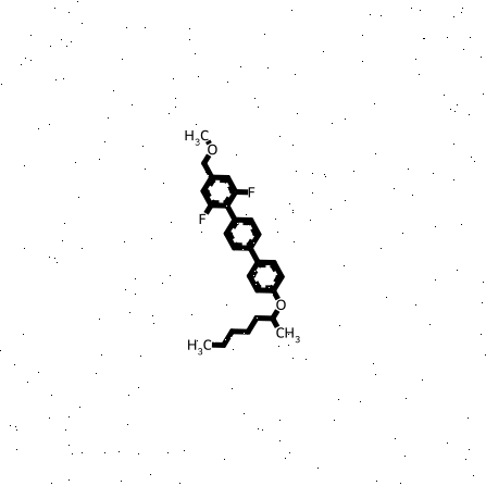 CCCCCC(C)Oc1ccc(-c2ccc(-c3c(F)cc(COC)cc3F)cc2)cc1